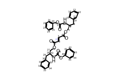 O=C(/C=C/C(=O)OC[C@H](Cc1ccccc1)NC(=O)Oc1ccccc1)OC[C@H](Cc1ccccc1)NC(=O)Oc1ccccc1